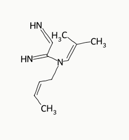 C/C=C\CN(C=C(C)C)C(=N)C=N